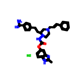 Cc1nc2cc(OC(=O)NN3CCN(CC=Cc4ccccc4)CC3CCc3ccc(C(=N)N)cc3)ccc2[nH]1.Cl